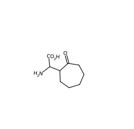 NC(C(=O)O)C1CCCCCC1=O